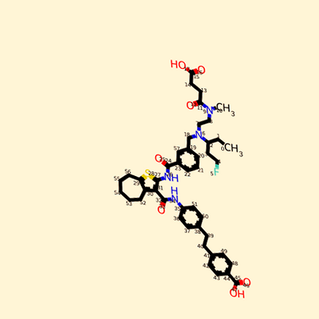 CCC(CCF)N(CCN(C)C(=O)CCC(=O)O)Cc1cccc(C(=O)Nc2sc3c(c2C(=O)Nc2ccc(CCc4ccc(C(=O)O)cc4)cc2)CCCCC3)c1